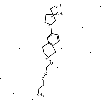 CCCOCCO[C@H]1CCc2cc([C@H]3CC[C@](N)(CO)C3)ccc2C1